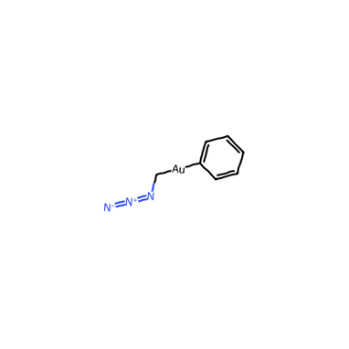 [N-]=[N+]=N[CH2][Au][c]1ccccc1